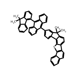 CC1(C)c2ccccc2-c2c(-c3c4ccccc4c(-c4ccc5c(c4)C(C)(C)c4ccc6c(sc7c8ccccc8ccc67)c4-5)c4ccccc34)cccc21